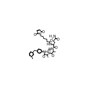 Cc1cccc(Cc2ccc(NC(=O)[C@H](C)NC(=O)[C@H](C)NC(=O)[C@H](CCC(N)=O)NC(=O)CCCCCN3C(=O)C=CC3=O)cc2)c1